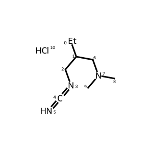 CCC(CN=C=N)CN(C)C.Cl